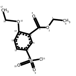 CCOC(=O)c1cc(S(=O)(=O)Cl)ccc1OCC